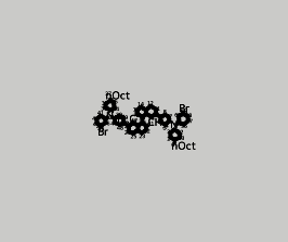 CCCCCCCCc1ccc(N(c2ccc(-c3ccc4ccc(C)c(-c5c(C)ccc6ccc(-c7ccc(N(c8ccc(CCCCCCCC)cc8)c8cccc(Br)c8)cc7)cc56)c4c3)cc2)c2cccc(Br)c2)cc1